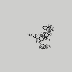 C=CC(=O)NC1CC(NC2NCC(Cl)C(NC3CCCCC3P(C)(C)=O)N2)C(C)CC1OC(COC)CN(C)C